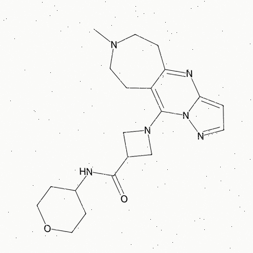 CN1CCc2nc3ccnn3c(N3CC(C(=O)NC4CCOCC4)C3)c2CC1